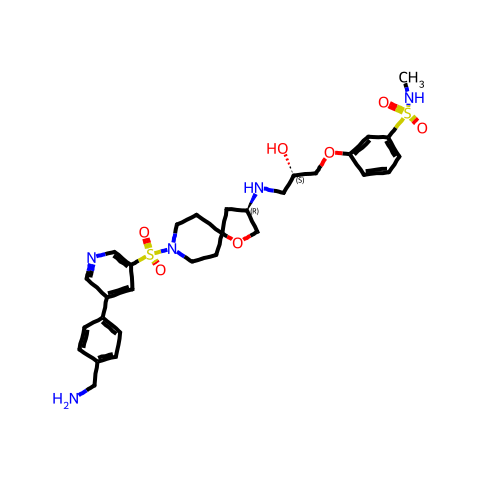 CNS(=O)(=O)c1cccc(OC[C@@H](O)CN[C@H]2COC3(CCN(S(=O)(=O)c4cncc(-c5ccc(CN)cc5)c4)CC3)C2)c1